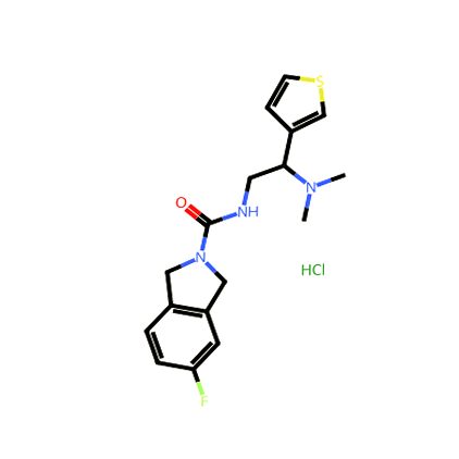 CN(C)C(CNC(=O)N1Cc2ccc(F)cc2C1)c1ccsc1.Cl